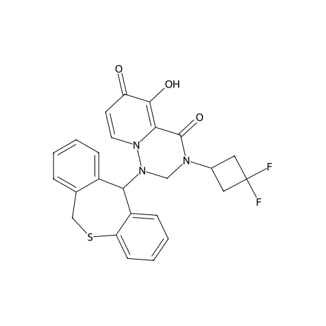 O=C1c2c(O)c(=O)ccn2N(C2c3ccccc3CSc3ccccc32)CN1C1CC(F)(F)C1